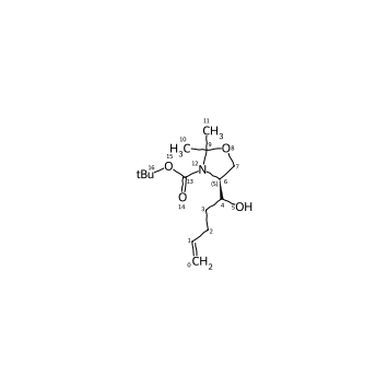 C=CCCC(O)[C@@H]1COC(C)(C)N1C(=O)OC(C)(C)C